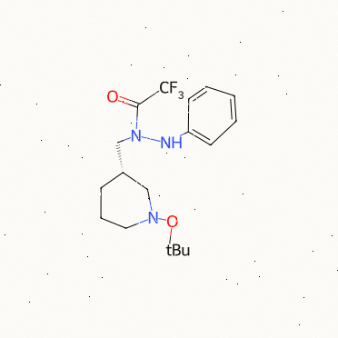 CC(C)(C)ON1CCC[C@H](CN(Nc2ccccc2)C(=O)C(F)(F)F)C1